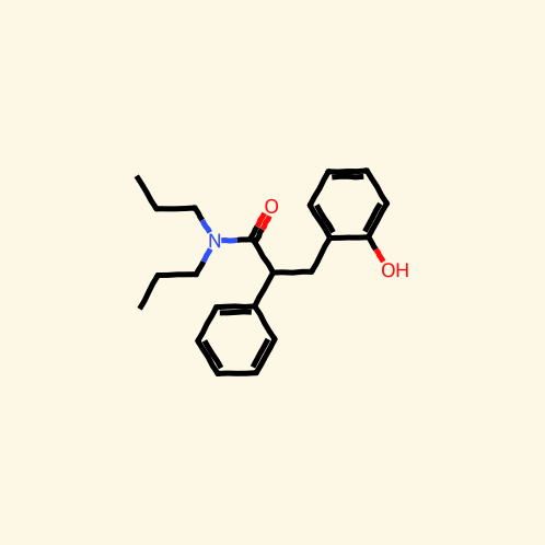 CCCN(CCC)C(=O)C(Cc1ccccc1O)c1ccccc1